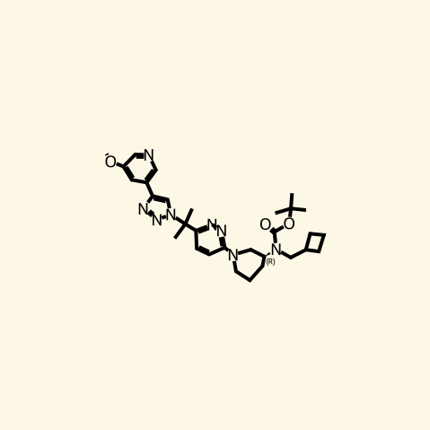 COc1cncc(-c2cn(C(C)(C)c3ccc(N4CCC[C@@H](N(CC5CCC5)C(=O)OC(C)(C)C)C4)nn3)nn2)c1